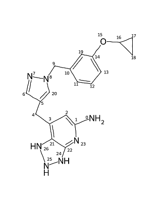 Nc1cc(Cc2cnn(Cc3cccc(OC4CC4)c3)c2)c2c(n1)NNN2